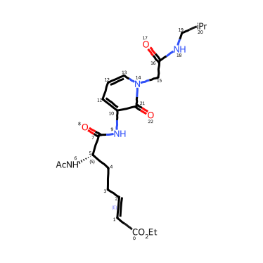 CCOC(=O)/C=C/CC[C@H](NC(C)=O)C(=O)Nc1cccn(CC(=O)NCC(C)C)c1=O